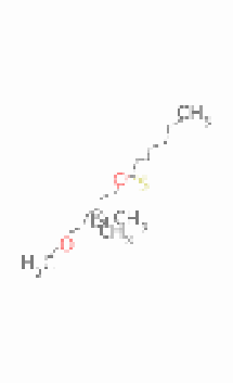 CCCCCCCC(=S)OCCC(CCCOCC)[SiH](C)C